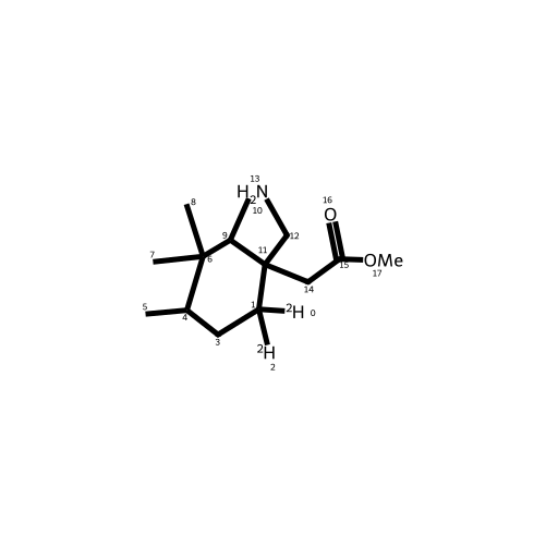 [2H]C1([2H])CC(C)C(C)(C)C(C)C1(CN)CC(=O)OC